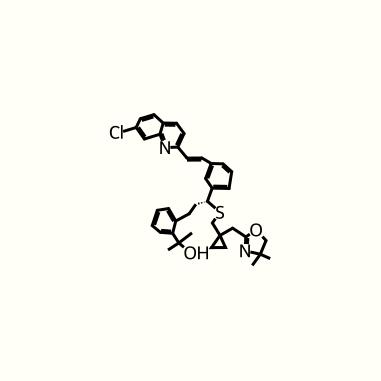 CC1(C)COC(CC2(CS[C@H](CCc3ccccc3C(C)(C)O)c3cccc(/C=C/c4ccc5ccc(Cl)cc5n4)c3)CC2)=N1